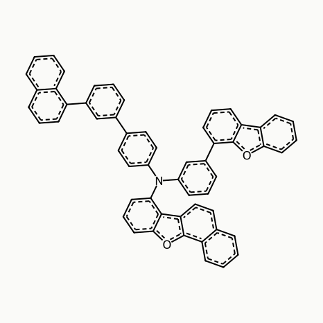 c1cc(-c2ccc(N(c3cccc(-c4cccc5c4oc4ccccc45)c3)c3cccc4oc5c6ccccc6ccc5c34)cc2)cc(-c2cccc3ccccc23)c1